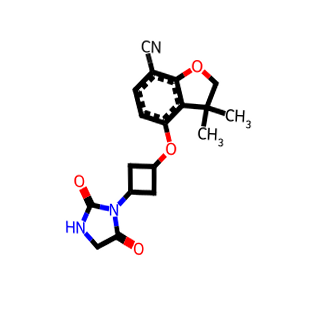 CC1(C)COc2c(C#N)ccc(OC3CC(N4C(=O)CNC4=O)C3)c21